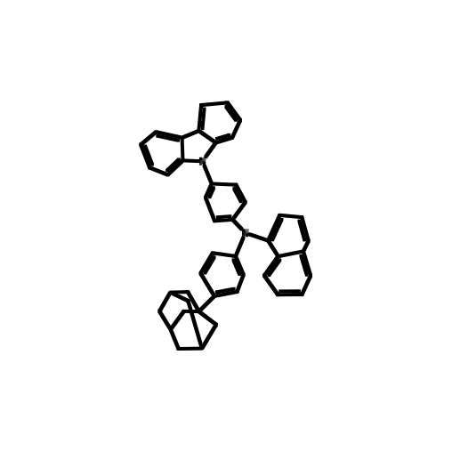 c1ccc2c(N(c3ccc(-n4c5ccccc5c5ccccc54)cc3)c3ccc(C45CC6CC(CC(C6)C4)C5)cc3)cccc2c1